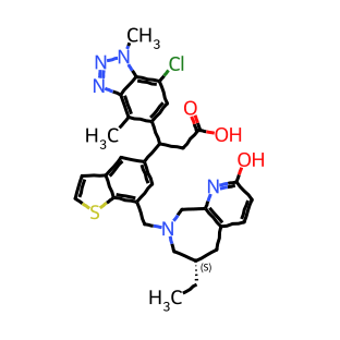 CC[C@H]1Cc2ccc(O)nc2CN(Cc2cc(C(CC(=O)O)c3cc(Cl)c4c(nnn4C)c3C)cc3ccsc23)C1